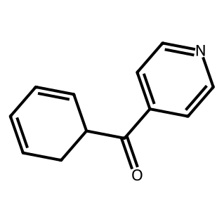 O=C(c1ccncc1)C1C=CC=CC1